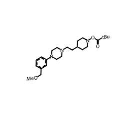 COCc1cccc(N2CCN(CCC3CCN(OC(=O)C(C)(C)C)CC3)CC2)c1